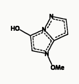 COn1cc(O)n2nccc12